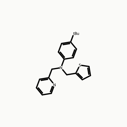 CC(C)(C)c1ccc(N(Cc2ccccn2)Cc2cccs2)cc1